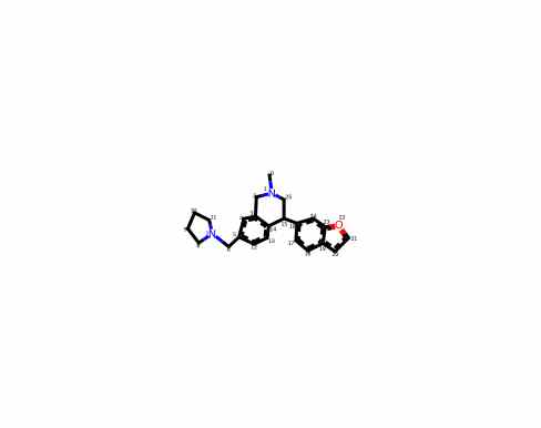 CN1Cc2cc(CN3CCCC3)ccc2C(c2ccc3ccoc3c2)C1